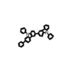 c1ccc(-c2ccc3c4cc(-c5ccc6c(c5)c5ccccc5n6-c5ccccc5)ccc4n(-c4ccccc4)c3c2)cc1